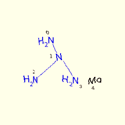 NN(N)N.[Mo]